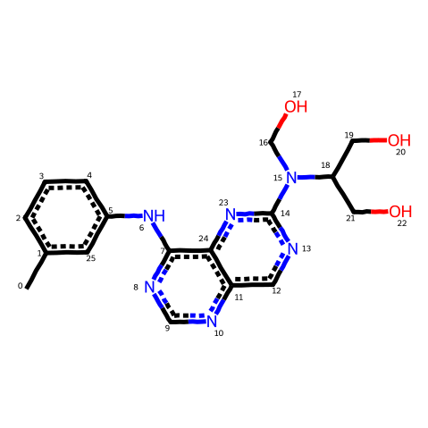 Cc1cccc(Nc2ncnc3cnc(N(CO)C(CO)CO)nc23)c1